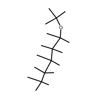 CC(C)(C)OC(C)(C)C(C)(C)C(C)(C)C(C)(C)C(C)(C)C